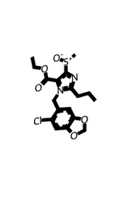 CCCc1nc([S+](C)[O-])c(C(=O)OCC)n1Cc1cc2c(cc1Cl)OCO2